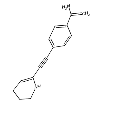 C=C(N)c1ccc(C#CC2=CCCCN2)cc1